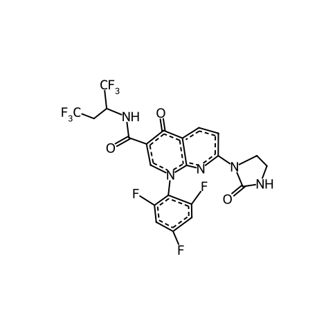 O=C(NC(CC(F)(F)F)C(F)(F)F)c1cn(-c2c(F)cc(F)cc2F)c2nc(N3CCNC3=O)ccc2c1=O